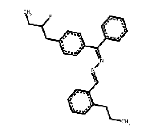 CCCc1ccccc1C=NN=C(c1ccccc1)c1ccc(CC(F)CC)cc1